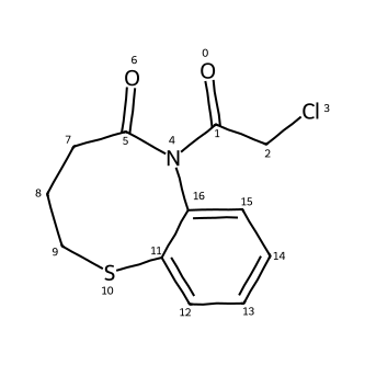 O=C(CCl)N1C(=O)CCCSc2ccccc21